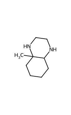 CC12CCCCC1NCCN2